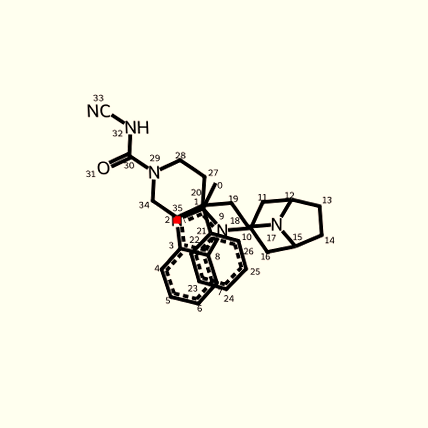 Cc1nc2ccccc2n1C1CC2CCC(C1)N2CCC1(c2ccccc2)CCN(C(=O)NC#N)CC1